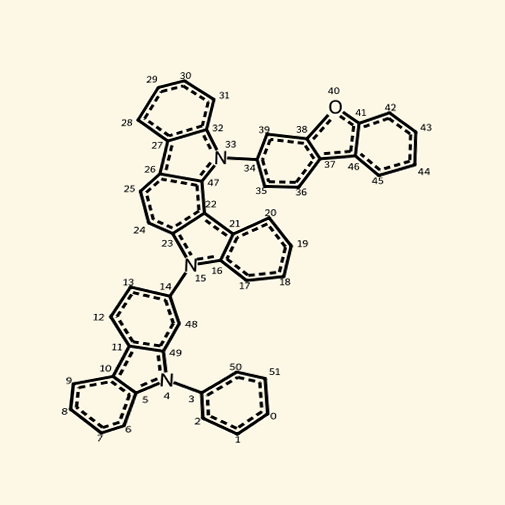 c1ccc(-n2c3ccccc3c3ccc(-n4c5ccccc5c5c4ccc4c6ccccc6n(-c6ccc7c(c6)oc6ccccc67)c45)cc32)cc1